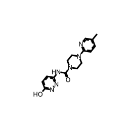 Cc1ccc(N2CCN(C(=O)Nc3ccc(O)nn3)CC2)nc1